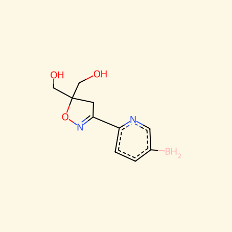 Bc1ccc(C2=NOC(CO)(CO)C2)nc1